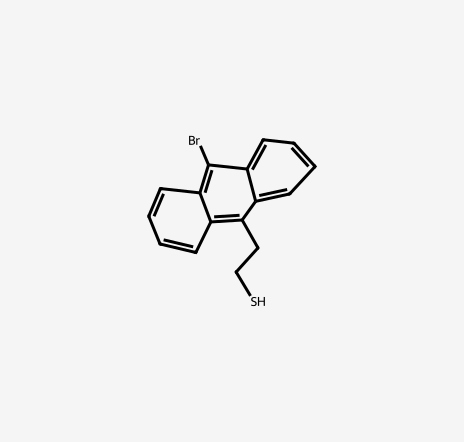 SCCc1c2ccccc2c(Br)c2ccccc12